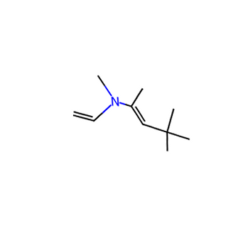 C=CN(C)/C(C)=C/C(C)(C)C